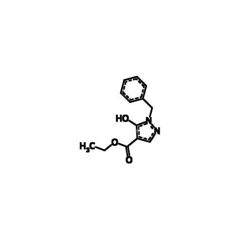 CCOC(=O)c1cnn(Cc2ccccc2)c1O